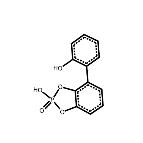 O=P1(O)Oc2cccc(-c3ccccc3O)c2O1